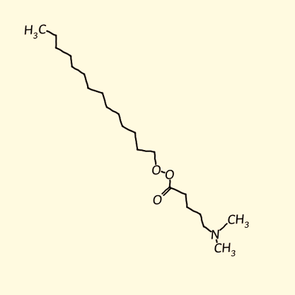 CCCCCCCCCCCCCCOOC(=O)CCCCN(C)C